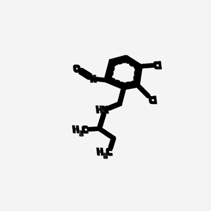 CCC(C)NCc1c(N=O)ccc(Cl)c1Cl